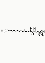 CCCCCCCCCCCSCCCNC(=O)NCCN(C)C